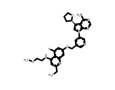 CCc1cc(NCCOC)c2c(F)cc(OCc3cncc(-n4cc([C@H]5CCCO5)c5c(N)ncnc54)c3)cc2n1